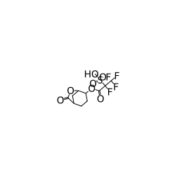 O=C1OC2CC1CCC2OC(=O)C(F)(C(F)(F)F)S(=O)(=O)O